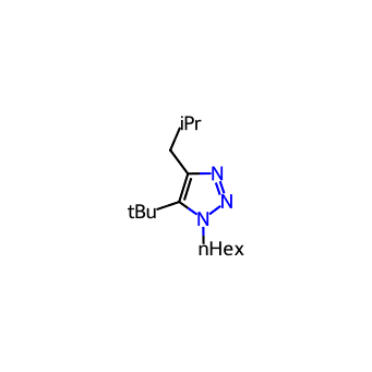 CCCCCCn1nnc(CC(C)C)c1C(C)(C)C